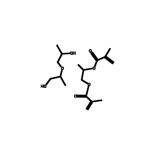 C=C(C)C(=O)OCC(C)OC(=O)C(=C)C.CC(O)COC(C)CO